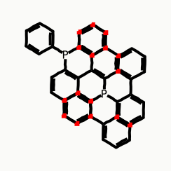 c1ccc(-c2ccccc2P(c2ccccc2-c2ccccc2)c2ccc3ccccc3c2-c2c(P(c3ccccc3)c3ccccc3)ccc3ccccc23)cc1